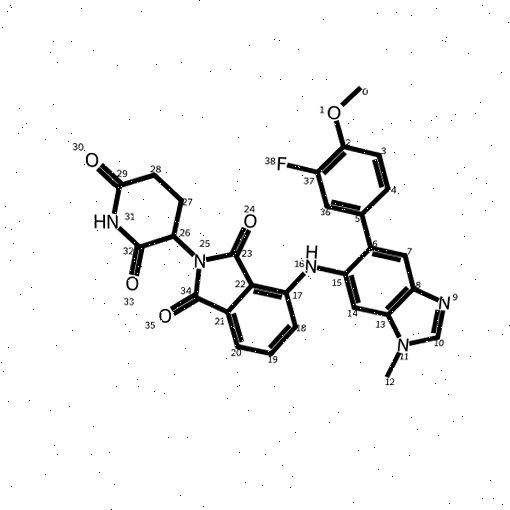 COc1ccc(-c2cc3ncn(C)c3cc2Nc2cccc3c2C(=O)N(C2CCC(=O)NC2=O)C3=O)cc1F